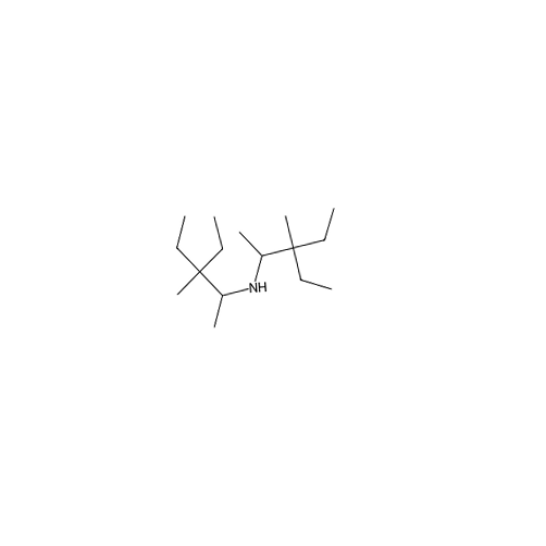 CCC(C)(CC)C(C)NC(C)C(C)(CC)CC